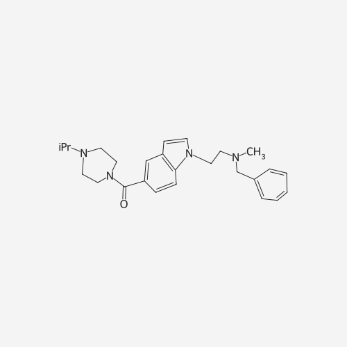 CC(C)N1CCN(C(=O)c2ccc3c(ccn3CCN(C)Cc3ccccc3)c2)CC1